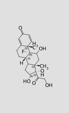 C[C@]12C=CC(=O)C=C1CC[C@H]1C3C[C@@H](O)[C@](O)(C(=O)CO)[C@@]3(C)CC(O)[C@@]12F